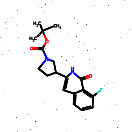 CC(C)(C)OC(=O)N1CCC(c2cc3cccc(F)c3c(=O)[nH]2)C1